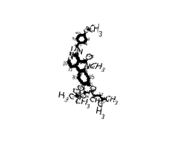 COc1ccc(CNc2nccc3c2c(=O)n(C)c2cc(ON(C(=O)OC(C)(C)C)[C@@H](C)CC(C)C)ccc32)cc1